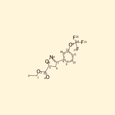 CCOC(=O)C1CC(c2cccc(OC(F)(F)F)c2)=NO1